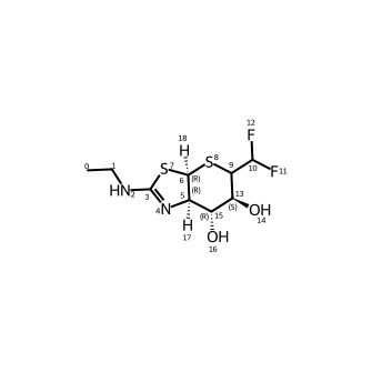 CCNC1=N[C@H]2[C@@H](S1)SC(C(F)F)[C@@H](O)[C@@H]2O